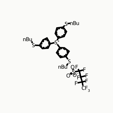 CCCCSc1ccc([S+](c2ccc(SCCCC)cc2)c2ccc(SCCCC)cc2)cc1.O=S(=O)([O-])C(F)(F)C(F)(F)C(F)(F)C(F)(F)F